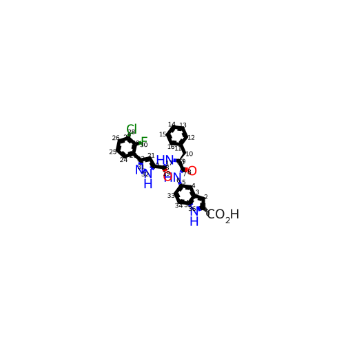 O=C(O)c1cc2cc(NC(=O)[C@H](Cc3ccccc3)NC(=O)c3cc(-c4cccc(Cl)c4F)n[nH]3)ccc2[nH]1